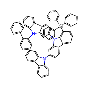 c1ccc(-c2ccccc2-n2c3ccccc3c3ccc(-n4c5cc(-n6c7ccccc7c7ccccc76)ccc5c5cccc([Si](c6ccccc6)(c6ccccc6)c6ccccc6)c54)cc32)cc1